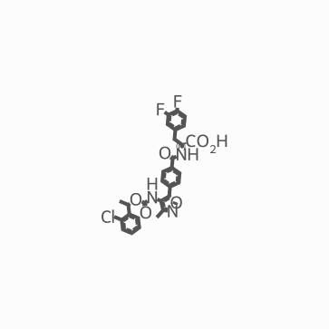 Cc1noc(-c2ccc(C(=O)N[C@H](Cc3ccc(F)c(F)c3)C(=O)O)cc2)c1NC(=O)OC(C)c1ccccc1Cl